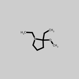 CCN1CCCC1(CC)OC